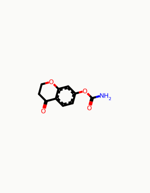 NC(=O)Oc1ccc2c(c1)OCCC2=O